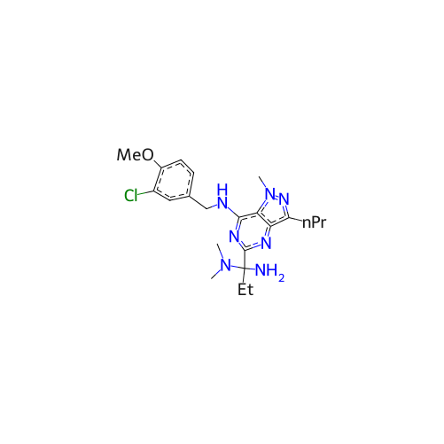 CCCc1nn(C)c2c(NCc3ccc(OC)c(Cl)c3)nc(C(N)(CC)N(C)C)nc12